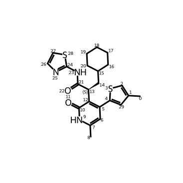 Cc1csc(-c2cc(C)[nH]c(=O)c2[C@H](CC2CCCCC2)C(=O)Nc2nccs2)c1